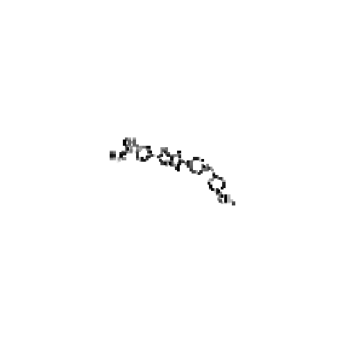 CN1CCC(CN2CCN(c3nn4cc(-c5ccc(N(C)C)cc5)nc4s3)CC2)CC1